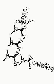 CN(C)C(=S)[S-].CN(C)C(=S)[S-].CN(C)C(=S)[S-].CN(C)C(=S)[S-].[O]=[Mo+4].[O]=[Mo+4].[O]=[Mo+4].[S-2].[S-2].[S-2].[S-2]